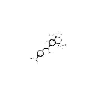 CC(=Cc1ccc(C(=O)O)cc1)c1cc2c(cc1C)C(C)(C)CCC2(C)C